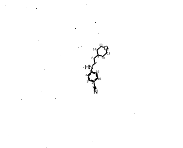 N#Cc1ccc(NCCC2CCOCC2)cc1